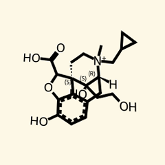 C[N+]1(CC2CC2)CC[C@]23c4c(ccc(O)c4OC2C(=O)O)C[C@@H]1[C@]3(O)CCO